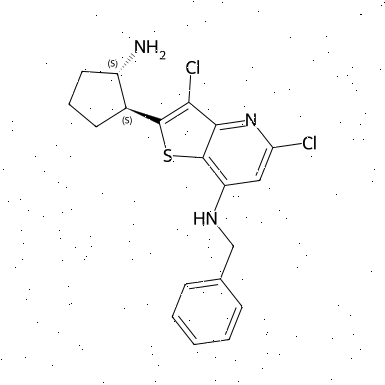 N[C@H]1CCC[C@@H]1c1sc2c(NCc3ccccc3)cc(Cl)nc2c1Cl